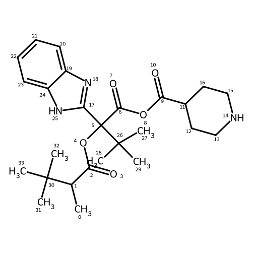 CC(C(=O)OC(C(=O)OC(=O)C1CCNCC1)(c1nc2ccccc2[nH]1)C(C)(C)C)C(C)(C)C